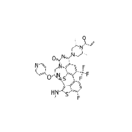 C=CC(=O)N1[C@H](C)CN(c2nc(=O)n3c4c(c(-c5ccc(F)c6sc(NC)c(C#N)c56)c(C(F)(F)F)cc24)SCC(Oc2ccncc2)C3)C[C@@H]1C